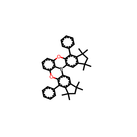 CC1(C)CC(C)(C)c2c1cc1c(c2-c2ccccc2)Oc2cccc3c2B1c1cc2c(c(-c4ccccc4)c1O3)C(C)(C)CC2(C)C